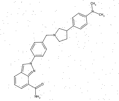 CN(C)c1ccc(C2CCN(Cc3ccc(-n4cc5cccc(C(N)=O)c5n4)cc3)C2)cc1